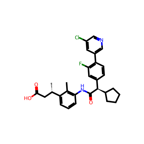 Cc1c(NC(=O)[C@@H](c2ccc(-c3cncc(Cl)c3)c(F)c2)C2CCCC2)cccc1[C@@H](C)CC(=O)O